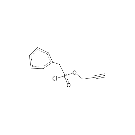 C#CCOP(=O)(Cl)Cc1ccccc1